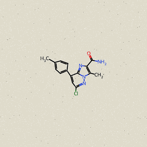 [CH2]c1c(C(N)=O)nc2c(-c3ccc(C)cc3)cc(Cl)nn12